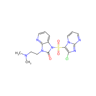 CN(C)CCn1c(=O)n(S(=O)(=O)c2c(Cl)nc3ncccn23)c2cccnc21